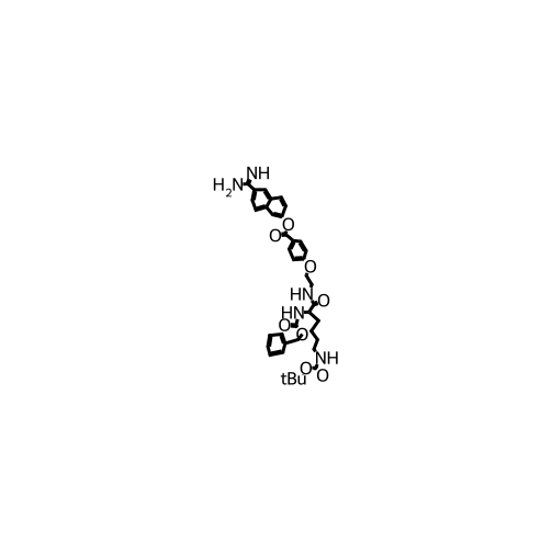 CC(C)(C)OC(=O)NCCCCC(NC(=O)OCc1ccccc1)C(=O)NCCOc1ccc(C(=O)Oc2ccc3cc(C(=N)N)ccc3c2)cc1